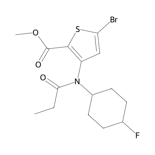 CCC(=O)N(c1cc(Br)sc1C(=O)OC)C1CCC(F)CC1